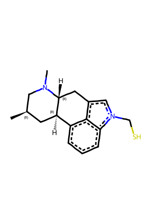 C[C@@H]1C[C@@H]2c3cccc4c3c(cn4CS)C[C@H]2N(C)C1